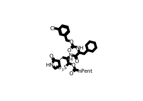 CCCCCC(=O)OC(C(C[C@@H]1CCNC1=O)NC(=O)C(CC1CCCCC1)NC(=O)OCc1cccc(Cl)c1)S(=O)(=O)O